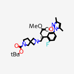 COC(=C=O)C[C@H](CN1CC2(CCN(C(=O)OC(C)(C)C)C2)C1)c1cc(-n2nc(C)cc2C)ccc1F